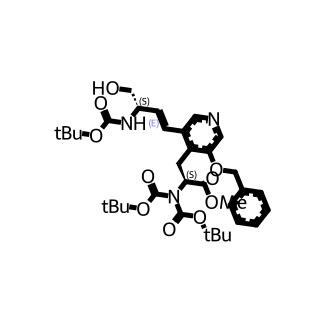 COC(=O)[C@H](Cc1c(/C=C/[C@@H](CO)NC(=O)OC(C)(C)C)cncc1OCc1ccccc1)N(C(=O)OC(C)(C)C)C(=O)OC(C)(C)C